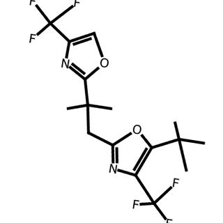 CC(C)(C)c1oc(CC(C)(C)c2nc(C(F)(F)F)co2)nc1C(F)(F)F